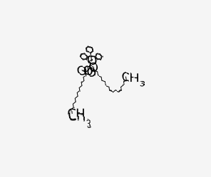 CCCCC/C=C\C/C=C\CCCCCCCC(=O)OC(COC(=O)CCCCCCCCCCCCCCC)COC(c1ccccc1)(c1ccccc1)c1ccccc1